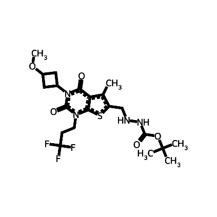 COC1CC(n2c(=O)c3c(C)c(CNNC(=O)OC(C)(C)C)sc3n(CCC(F)(F)F)c2=O)C1